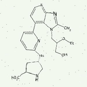 CCOC(CO)Cn1c(C)nc2nccc(-c3cccc(N[C@@H]4CNC(C(=O)O)C4)n3)c21